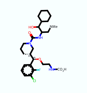 CNCC(NC(=O)N1CCC[C@@H]([C@@H](OCCNC(=O)O)c2cccc(Cl)c2F)C1)C(O)C1CCCCC1